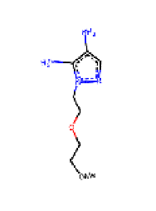 COCCOCCn1ncc(N)c1N